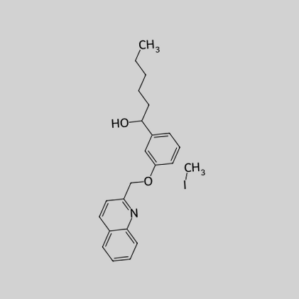 CCCCCC(O)c1cccc(OCc2ccc3ccccc3n2)c1.CI